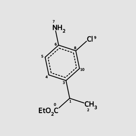 CCOC(=O)C(C)c1ccc(N)c(Cl)c1